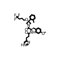 COc1ccc(C[C@@H](NC(=O)CCc2c[nH]cn2)C(=O)N2CC(OCCCC(F)(F)F)(c3ccccc3C)C2)cc1